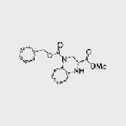 COC(=O)C1CN(C(=O)OCc2ccccc2)c2ccccc2N1